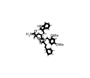 COc1ccc(Cn2c(CCc3ccccc3)nnc2[C@H](Cc2c[nH]c3ccccc23)CC(C)(N)C(N)=O)c(OC)c1